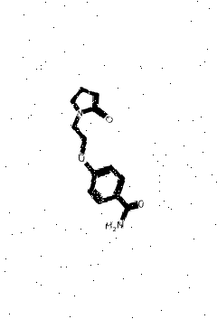 NC(=O)c1ccc(OCCN2CCCC2=O)cc1